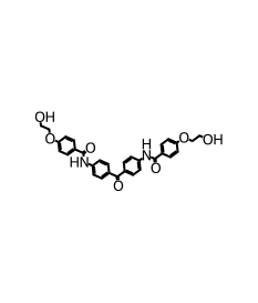 O=C(Nc1ccc(C(=O)c2ccc(NC(=O)c3ccc(OCCO)cc3)cc2)cc1)c1ccc(OCCO)cc1